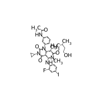 CC(=O)Nc1cccc(-n2c(=O)n(C3CC3)c(=O)c3c(Nc4ccc(I)cc4F)n(C)c(=O)c(C)c32)c1.CC(C)CCO